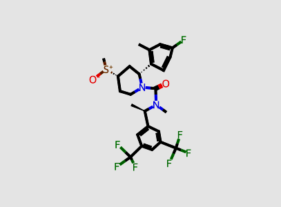 Cc1cc(F)ccc1[C@H]1C[C@@H]([S+](C)[O-])CCN1C(=O)N(C)[C@H](C)c1cc(C(F)(F)F)cc(C(F)(F)F)c1